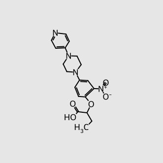 CCC(Oc1ccc(N2CCN(c3ccncc3)CC2)cc1[N+](=O)[O-])C(=O)O